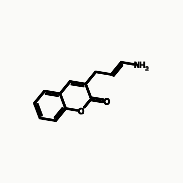 NC=CCc1cc2ccccc2oc1=O